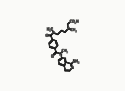 CN(CCCN(C)C(=O)c1ccc(C(=O)N(C)c2ccc3ccnc(N)c3c2)cc1)CC(=O)O